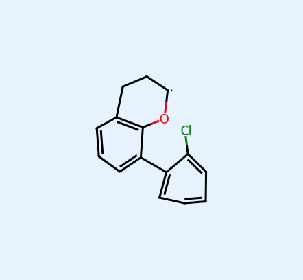 Clc1ccccc1-c1cccc2c1O[CH]CC2